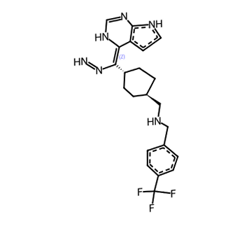 N=N/C(=C1\NC=Nc2[nH]ccc21)[C@H]1CC[C@H](CNCc2ccc(C(F)(F)F)cc2)CC1